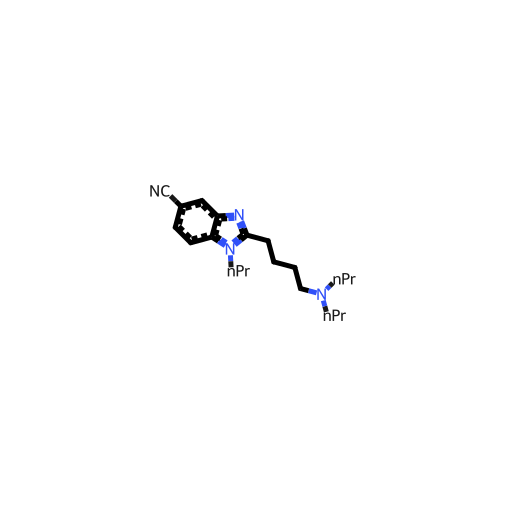 CCCN(CCC)CCCCc1nc2cc(C#N)ccc2n1CCC